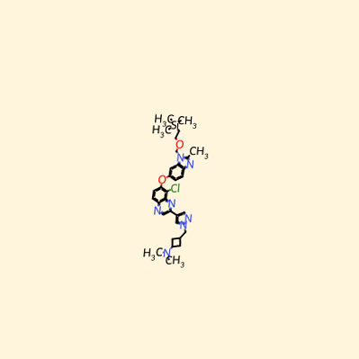 Cc1nc2ccc(Oc3ccc4ncc(-c5cnn(CC6CC(N(C)C)C6)c5)nc4c3Cl)cc2n1COCC[Si](C)(C)C